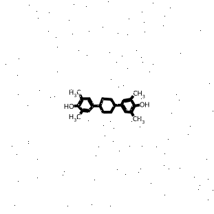 Cc1cc(C2CCC(c3cc(C)c(O)c(C)c3)CC2)cc(C)c1O